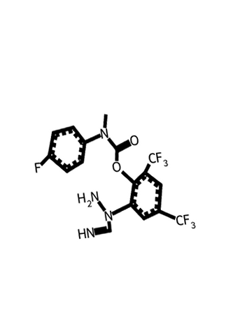 CN(C(=O)Oc1c(N(N)C=N)cc(C(F)(F)F)cc1C(F)(F)F)c1ccc(F)cc1